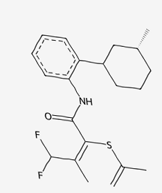 C=C(C)S/C(C(=O)Nc1ccccc1C1CCC[C@@H](C)C1)=C(\C)C(F)F